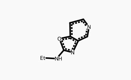 CCNc1nc2cnccc2o1